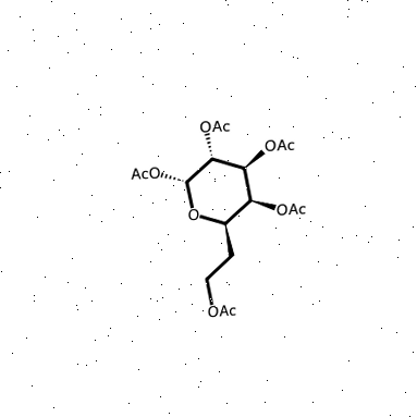 CC(=O)OCC[C@H]1O[C@H](OC(C)=O)[C@H](OC(C)=O)[C@@H](OC(C)=O)[C@H]1OC(C)=O